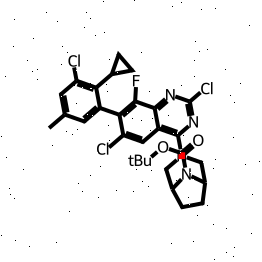 Cc1cc(Cl)c(C2CC2)c(-c2c(Cl)cc3c(N4CC5CCC(C4)N5C(=O)OC(C)(C)C)nc(Cl)nc3c2F)c1